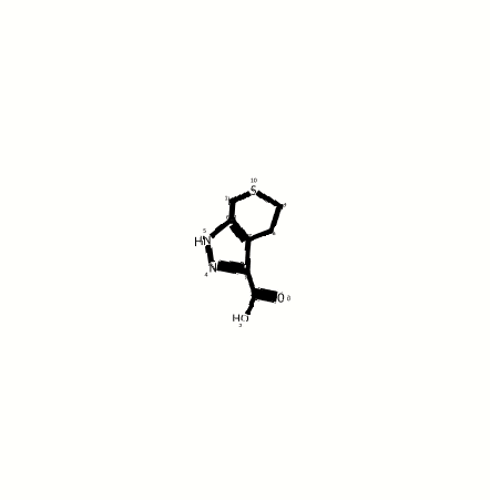 O=C(O)c1n[nH]c2c1CCSC2